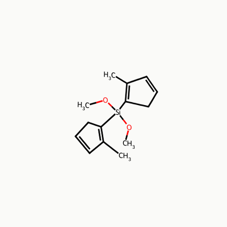 CO[Si](OC)(C1=C(C)C=CC1)C1=C(C)C=CC1